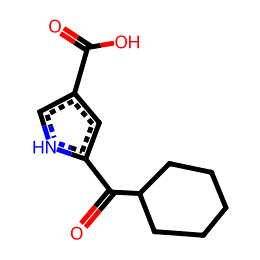 O=C(O)c1c[nH]c(C(=O)C2CCCCC2)c1